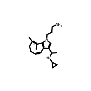 C/C1=C(/C)c2c(c(C(C)NC3CC3)cn2CCCN)/C=C\CC1